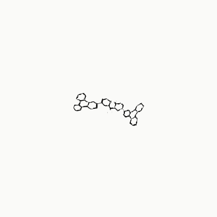 O=c1c2cc(-c3ccc4c5ccccc5c5ccccc5c4c3)ccc2oc2ccc(-c3ccc4c5ccccc5c5ccccc5c4c3)cc12